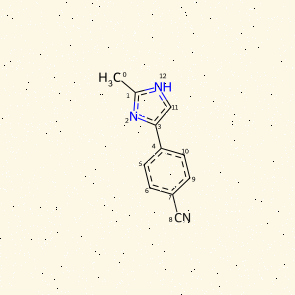 Cc1nc(-c2ccc(C#N)cc2)c[nH]1